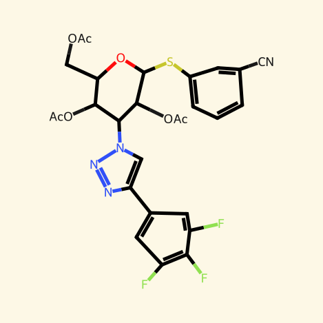 CC(=O)OCC1OC(Sc2cccc(C#N)c2)C(OC(C)=O)C(n2cc(-c3cc(F)c(F)c(F)c3)nn2)C1OC(C)=O